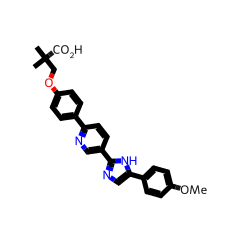 COc1ccc(-c2cnc(-c3ccc(-c4ccc(OCC(C)(C)C(=O)O)cc4)nc3)[nH]2)cc1